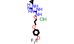 Cl.N=C(NOCCCOc1ccc(OC(F)(F)F)cc1)NC(=N)NC1CC1